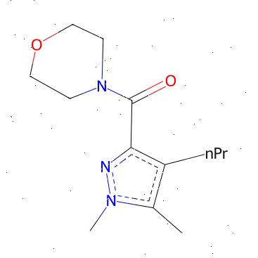 CCCc1c(C(=O)N2CCOCC2)nn(C)c1C